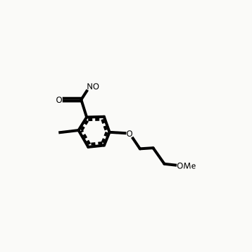 COCCCOc1ccc(C)c(C(=O)N=O)c1